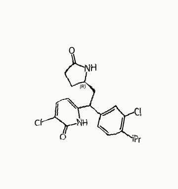 CC(C)c1ccc(C(C[C@H]2CCC(=O)N2)c2ccc(Cl)c(=O)[nH]2)cc1Cl